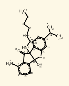 CCCCNC(=O)NC12C(=O)c3c(N)cccc3C1(O)Oc1cc(C(C)C)ccc12